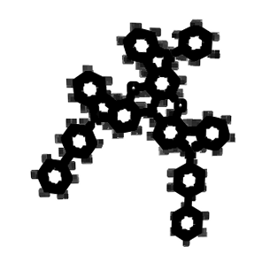 c1ccc(-c2ccc(-n3c4ccccc4c4c5c(ccc43)B3c4ccc6c(c4Oc4c3c(cc3c4c4ccccc4n3-c3ccccc3)O5)c3ccccc3n6-c3ccc(-c4ccccc4)cc3)cc2)cc1